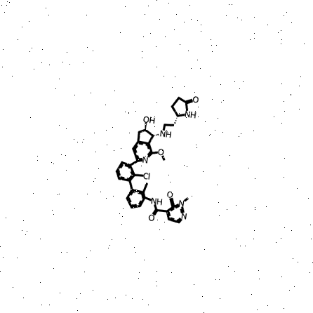 COc1nc(-c2cccc(-c3cccc(NC(=O)c4ccnn(C)c4=O)c3C)c2Cl)cc2c1[C@@H](NCC[C@@H]1CCC(=O)N1)[C@H](O)C2